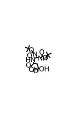 CC(C)(C)OC(=O)/N=C(/NC(=O)OC(C)(C)C)NC(CC(=O)O)C(=O)O